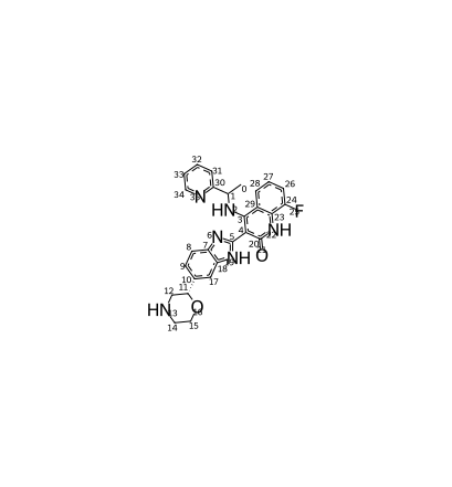 CC(Nc1c(-c2nc3ccc([C@H]4CNCCO4)cc3[nH]2)c(=O)[nH]c2c(F)cccc12)c1ccccn1